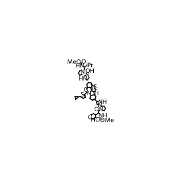 COC(=O)N[C@@H](C(C)C)[C@H](O)N1CCC[C@H]1C1=NCC([C@@H]2C=C(F)[C@H]3C(C2)OC(C2=CCC(C4CC4)S2)N2C4CC=C(C5CN([C@@H]6CCCN6C(=O)[C@@H](N[C@H](O)OC)C6CCOCC6)N5)C[C@H]4C(F)C32)N1